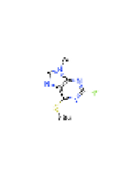 CCCCSc1nc(F)nc2c1ncn2C(C)=O